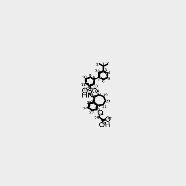 CC(C)c1cccc(-c2cccc(S(=O)(=O)NC3CCCCc4c(OCC(=O)O)cccc43)c2)c1